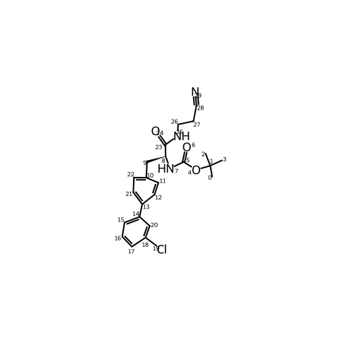 CC(C)(C)OC(=O)N[C@@H](Cc1ccc(-c2cccc(Cl)c2)cc1)C(=O)NCCC#N